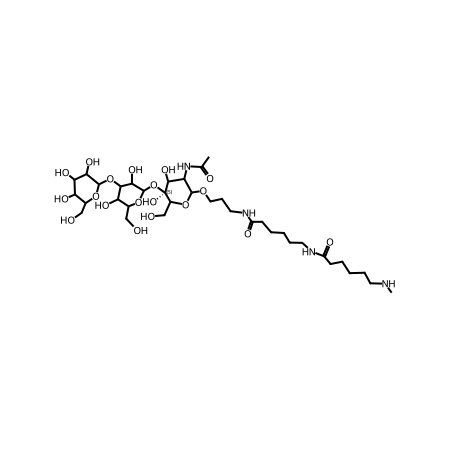 CNCCCCCC(=O)NCCCCCC(=O)NCCCOC1OC(CO)[C@@](O)(OC2OC(CO)C(O)C(OC3OC(CO)C(O)C(O)C3O)C2O)C(O)C1NC(C)=O